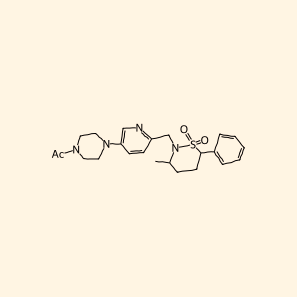 CC(=O)N1CCN(c2ccc(CN3C(C)CCC(c4ccccc4)S3(=O)=O)nc2)CC1